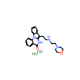 Cl.Cl.O=c1[nH]c2c(CCNCCN3CCOCC3)c3ccccc3n2c2ccccc12